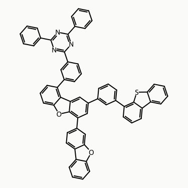 c1ccc(-c2nc(-c3ccccc3)nc(-c3cccc(-c4cccc5oc6c(-c7ccc8c(c7)oc7ccccc78)cc(-c7cccc(-c8cccc9c8sc8ccccc89)c7)cc6c45)c3)n2)cc1